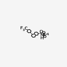 O=C(NS(=O)(=O)C1CC1)c1ccc2c(-c3ccc(C(F)(F)F)cc3)cccc2c1